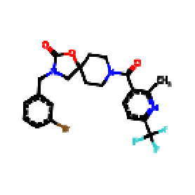 Cc1nc(C(F)(F)F)ccc1C(=O)N1CCC2(CC1)CN(Cc1cccc(Br)c1)C(=O)O2